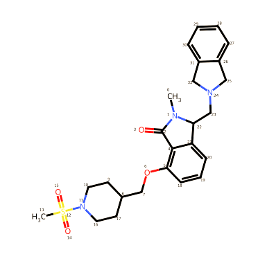 CN1C(=O)c2c(OCC3CCN(S(C)(=O)=O)CC3)cccc2C1CN1Cc2ccccc2C1